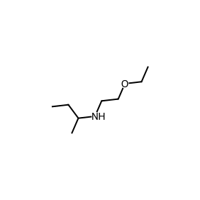 CCOCCNC(C)CC